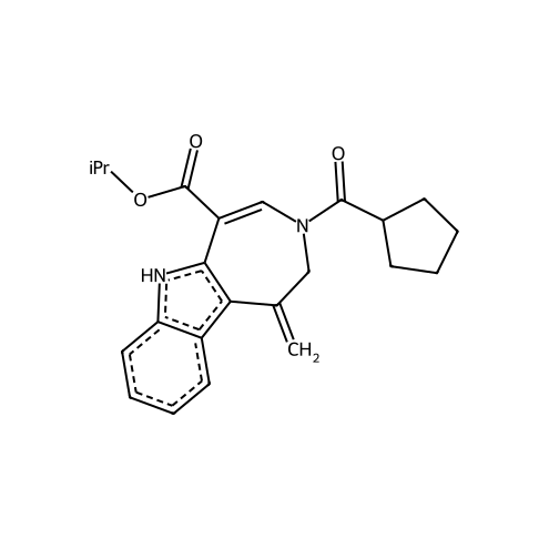 C=C1CN(C(=O)C2CCCC2)C=C(C(=O)OC(C)C)c2[nH]c3ccccc3c21